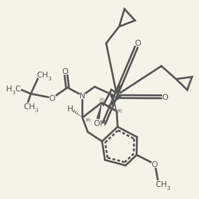 COc1ccc2c(c1)[C@]13CCN(C(=O)OC(C)(C)C)[C@H](C2)[C@]1(O)CCC(CC1CC1)C(=O)N(CC1CC1)C(=O)C3